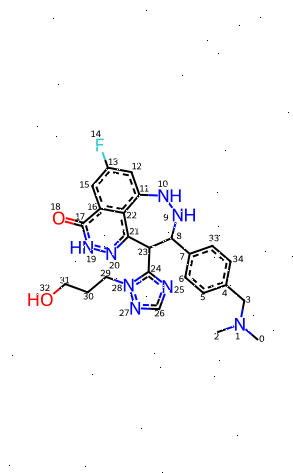 CN(C)Cc1ccc(C2NNc3cc(F)cc4c(=O)[nH]nc(c34)C2c2ncnn2CCCO)cc1